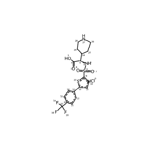 Cl.O=C(O)[C@H](NS(=O)(=O)c1ccc(-c2ccc(C(F)(F)F)cc2)s1)C1CCNCC1